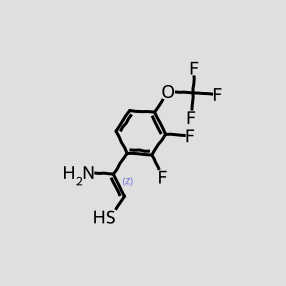 N/C(=C\S)c1ccc(OC(F)(F)F)c(F)c1F